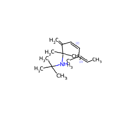 C=C(/C=C\C(C)=C/C)C(C)(C)NC(C)(C)C